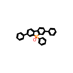 O=P1(c2ccccc2)c2cc(-c3ccccc3)ccc2-c2ccc(-c3ccccc3)cc21